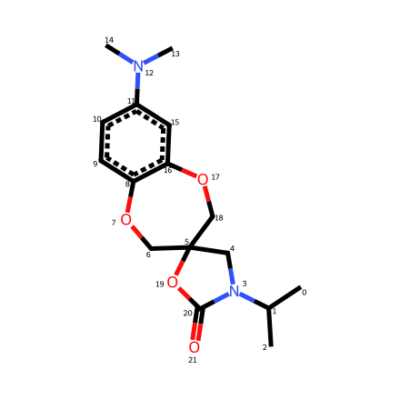 CC(C)N1CC2(COc3ccc(N(C)C)cc3OC2)OC1=O